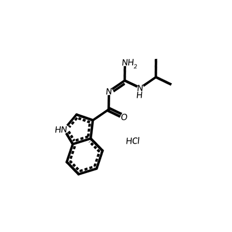 CC(C)NC(N)=NC(=O)c1c[nH]c2ccccc12.Cl